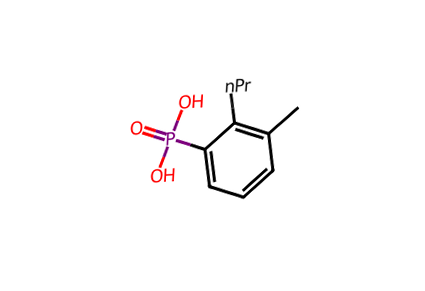 CCCc1c(C)cccc1P(=O)(O)O